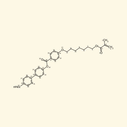 C=C(C)C(=O)OCCCCCCCOc1ccc(C(=O)Oc2ccc(-c3ccc(CCCCCC)cn3)cc2)cc1